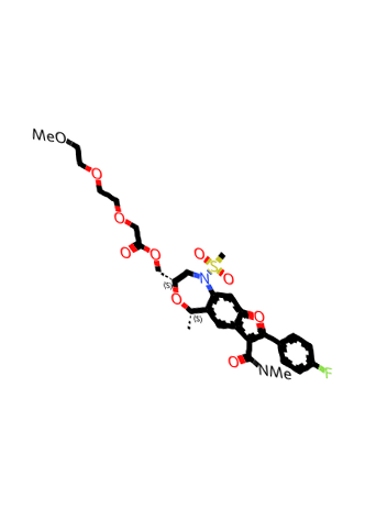 CNC(=O)c1c(-c2ccc(F)cc2)oc2cc3c(cc12)[C@H](C)O[C@H](COC(=O)COCCOCCOC)CN3S(C)(=O)=O